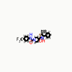 Cc1sc(C2(O)CCN(C(=O)Nc3ccc(C(F)(F)F)cc3)CC2)nc1-c1ccccc1C#N